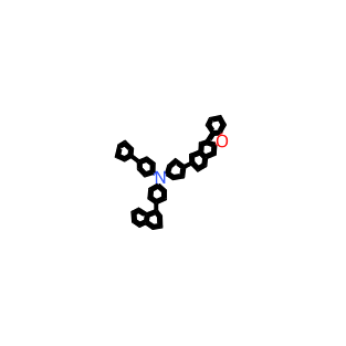 c1ccc(-c2ccc(N(c3ccc(-c4ccc5cc6oc7ccccc7c6cc5c4)cc3)c3ccc(-c4cccc5ccccc45)cc3)cc2)cc1